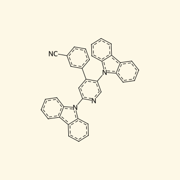 N#Cc1cccc(-c2cc(-n3c4ccccc4c4ccccc43)ncc2-n2c3ccccc3c3ccccc32)c1